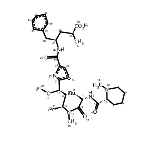 CC[C@H](C)[C@H](NC(=O)[C@H]1CCCCN1C)C(=O)N(C)[C@H](C[C@@H](OC(C)C)c1nc(C(=O)N[C@@H](Cc2ccccc2)C[C@H](C)C(=O)O)cs1)C(C)C